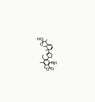 CCc1c(C)c2c(c(NC)c1C1C=C(C3(C)C=CC=C(C(C)C(=O)O)C3C)CC1)C(=O)OC2